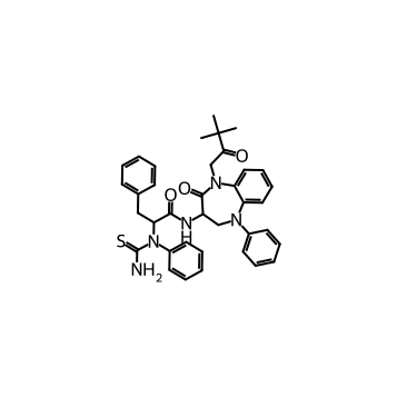 CC(C)(C)C(=O)CN1C(=O)C(NC(=O)C(Cc2ccccc2)N(C(N)=S)c2ccccc2)CN(c2ccccc2)c2ccccc21